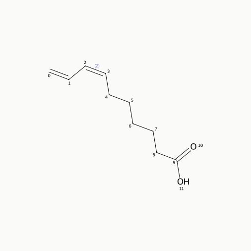 C=C/C=C\CCCCCC(=O)O